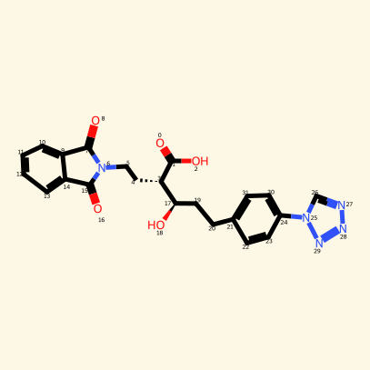 O=C(O)[C@@H](CCN1C(=O)c2ccccc2C1=O)[C@H](O)CCc1ccc(-n2cnnn2)cc1